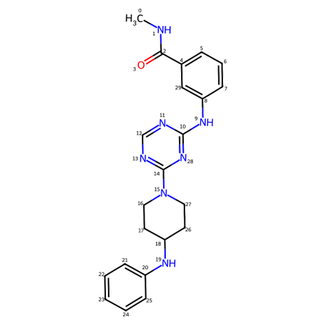 CNC(=O)c1cccc(Nc2ncnc(N3CCC(Nc4ccccc4)CC3)n2)c1